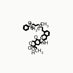 CC[C@@]1(O)C(=O)OCC2=C1CC1=C(C2=O)N2Cc3c(cccc3CC[Si](C)(C)CCCS(=O)(=O)c3ccccc3)C=C2N1